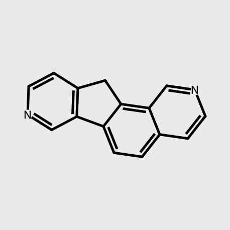 c1cc2c(cn1)-c1ccc3ccncc3c1C2